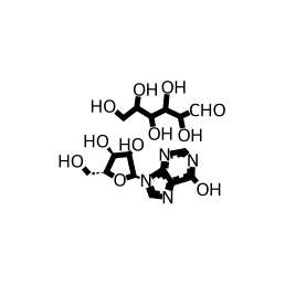 O=CC(O)C(O)C(O)C(O)CO.OC[C@H]1O[C@@H](n2cnc3c(O)ncnc32)[C@H](O)[C@@H]1O